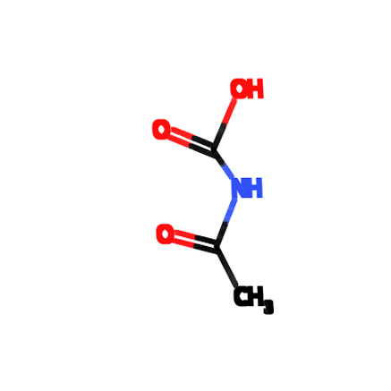 CC(=O)NC(=O)O